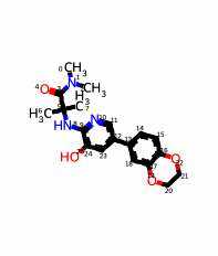 CN(C)C(=O)C(C)(C)Nc1ncc(-c2ccc3c(c2)OCCO3)cc1O